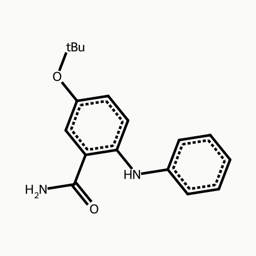 CC(C)(C)Oc1ccc(Nc2ccccc2)c(C(N)=O)c1